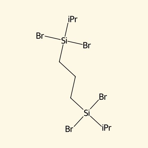 CC(C)[Si](Br)(Br)CCC[Si](Br)(Br)C(C)C